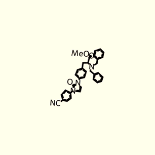 COC(=O)C(Cc1ccc(-n2ccn(-c3ccc(C#N)cc3)c2=O)cc1)N(Cc1ccccc1)Cc1ccccc1